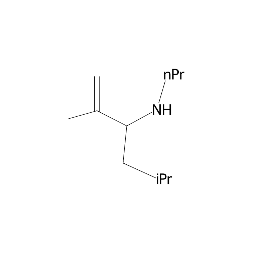 C=C(C)C(CC(C)C)NCCC